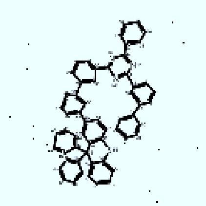 c1ccc(-c2cccc(-c3nc(-c4ccccc4)nc(-c4cccc(-c5cccc(-c6ccc7c(c6)C(c6ccccc6)(c6ccccc6)c6ccccc6S7)c5)c4)n3)c2)cc1